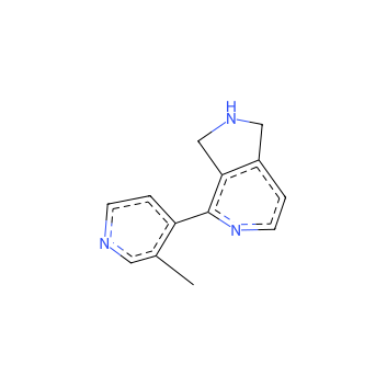 Cc1cnccc1-c1nccc2c1CNC2